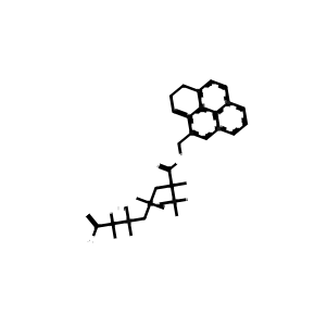 C=C(N=O)C(C)(C(C)(C)C)C(C)(C)CC(C)(C)CC(C)(C(=O)OCc1cc2cccc3ccc4c(c1=CCC4)c32)C(C)(C)CC